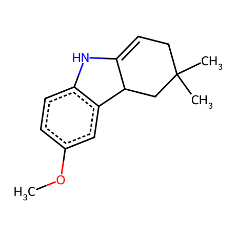 COc1ccc2c(c1)C1CC(C)(C)CC=C1N2